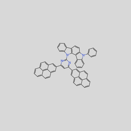 c1ccc(-n2c3ccccc3c3c2ccc2c4ccccc4n(-c4nc(-c5cc6ccc7cccc8ccc(c5)c6c78)cc(-c5cc6ccc7cccc8ccc(c5)c6c78)n4)c23)cc1